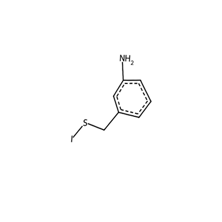 Nc1cccc(CSI)c1